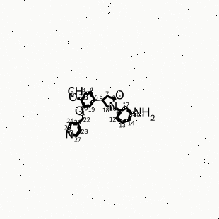 COc1ccc([C@H]2CC(=O)N(c3cccc(N)c3)C2)cc1OCc1ccncc1